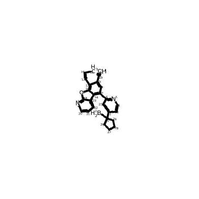 BC1(c2ccnc(-c3cc(C#C)c(/C=C\C)c4oc5ncccc5c34)c2)CCCC1